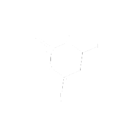 CCC1CC(CC)OS(=O)O1